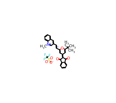 C[n+]1cc(/C=C/C2=CC(=C3C(=O)c4ccccc4C3=O)C=C(C(C)(C)C)O2)cc2ccccc21.O=S(=O)([O-])C(F)(F)F